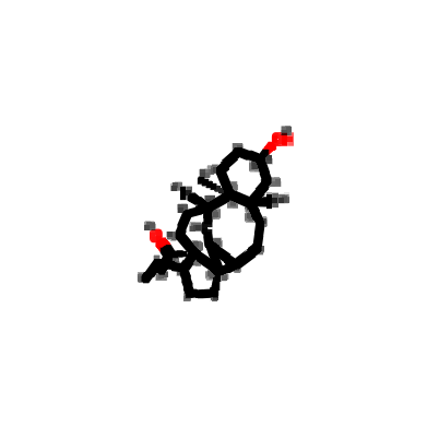 CCC1CC[C@@]23C4CC[C@H]5C[C@H](O)CC[C@]5(C)[C@@H](CC[C@]12C(C)=O)CC43